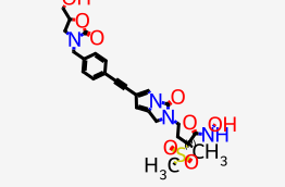 C[C@@](CCN1Cc2cc(C#Cc3ccc(CN4CC(CO)OC4=O)cc3)cn2C1=O)(C(=O)NO)S(C)(=O)=O